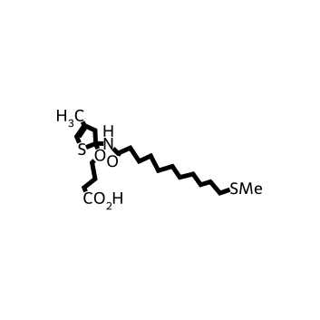 CSCCCCCCCCCCC(=O)NC1(OCCCC(=O)O)CC(C)=CS1